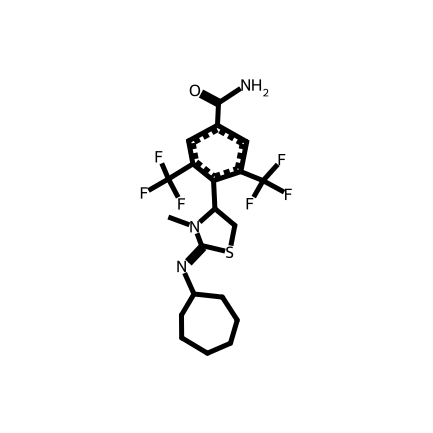 CN1C(=NC2CCCCCC2)SCC1c1c(C(F)(F)F)cc(C(N)=O)cc1C(F)(F)F